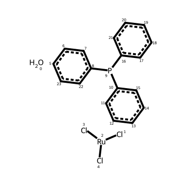 O.[Cl][Ru]([Cl])[Cl].c1ccc(P(c2ccccc2)c2ccccc2)cc1